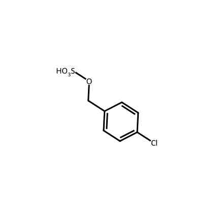 O=S(=O)(O)OCc1ccc(Cl)cc1